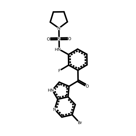 O=C(c1cccc(NS(=O)(=O)N2CCCC2)c1F)c1c[nH]c2ncc(Br)cc12